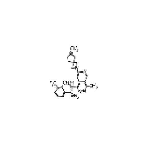 Cc1c([C@@H](N)Nc2nnc(C)c3cnc(N4CC5(CCN(C)C5)C4)cc23)cccc1C(F)(F)F